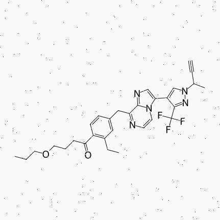 C#CC(C)n1cc(-c2cnc3c(Cc4ccc(C(=O)CCCOCCC)c(CC)c4)nccn23)c(C(F)(F)F)n1